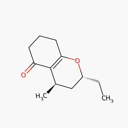 CC[C@@H]1C[C@@H](C)C2=C(CCCC2=O)O1